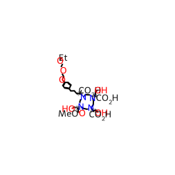 CCOCCOCCOc1ccc(CCC[C@@H](C(=O)O)N2CCN([C@H](CO)C(=O)OC)CCN([C@@H](CO)C(=O)O)CCN([C@@H](CO)C(=O)O)CC2)cc1